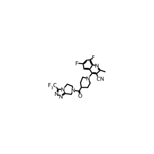 Cc1nc2c(F)cc(F)cc2c(N2CCC(C(=O)N3CCn4c(nnc4C(F)(F)F)C3)CC2)c1C#N